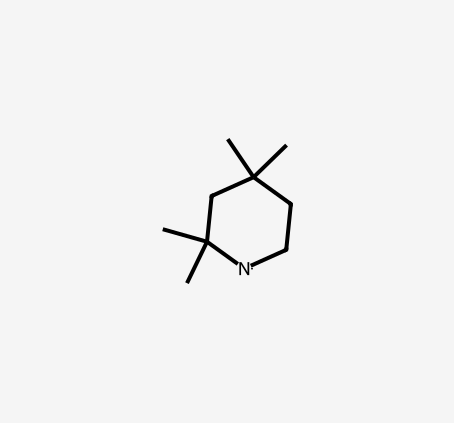 CC1(C)CC[N]C(C)(C)C1